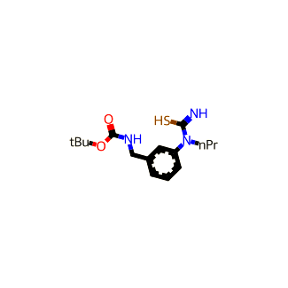 CCCN(C(=N)S)c1cccc(CNC(=O)OC(C)(C)C)c1